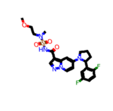 COCCN(C)S(=O)(=O)NC(=O)c1cnn2ccc(N3CCCC3c3cc(F)ccc3F)cc12